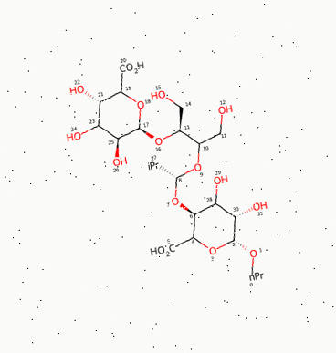 CCCO[C@@H]1OC(C(=O)O)[C@@H](O[C@@H](OC(CO)[C@H](CO)O[C@@H]2OC(C(=O)O)[C@@H](O)C(O)[C@@H]2O)C(C)C)C(O)[C@@H]1O